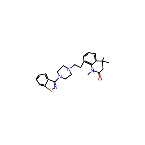 CN1C(=O)CC(C)(C)c2cccc(CCN3CCN(c4nsc5ccccc45)CC3)c21